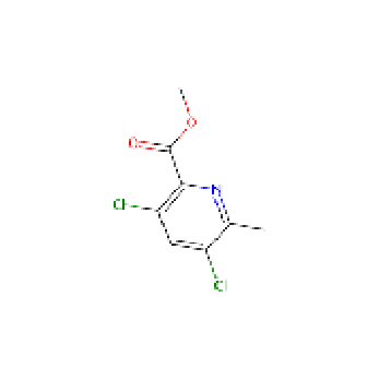 COC(=O)c1nc(C)c(Cl)cc1Cl